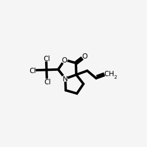 C=CCC12CCCN1C(C(Cl)(Cl)Cl)OC2=O